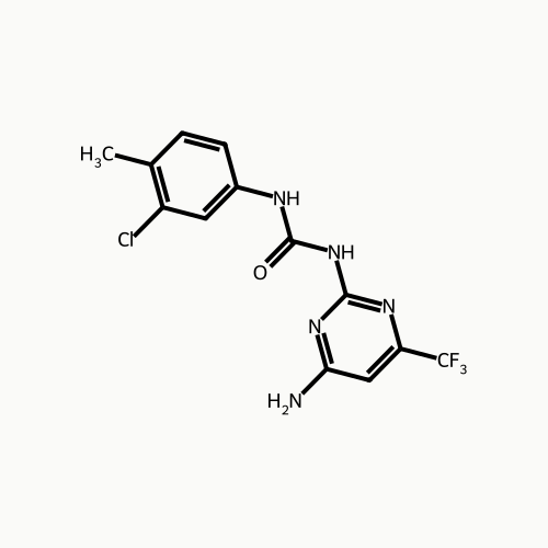 Cc1ccc(NC(=O)Nc2nc(N)cc(C(F)(F)F)n2)cc1Cl